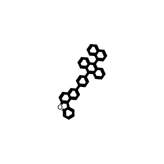 c1ccc2c(-c3c4ccccc4c(-c4ccc(-c5ccc6c(ccc7oc8ccccc8c76)c5)cc4)c4ccccc34)cccc2c1